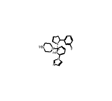 Fc1cccc(C2CCCN2[C@]2(N3CCNCC3)C=CC=C(n3ccnc3)N2)c1